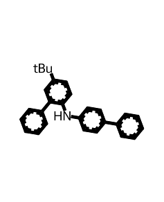 CC(C)(C)c1ccc(Nc2ccc(-c3ccccc3)cc2)c(-c2ccccc2)c1